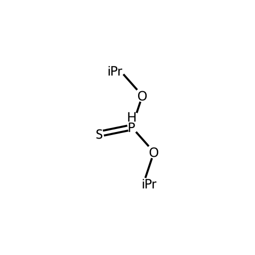 CC(C)O[PH](=S)OC(C)C